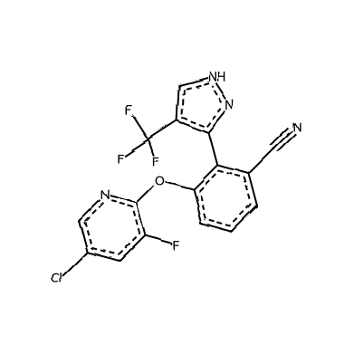 N#Cc1cccc(Oc2ncc(Cl)cc2F)c1-c1n[nH]cc1C(F)(F)F